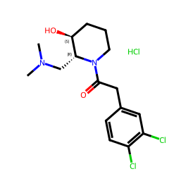 CN(C)C[C@@H]1[C@@H](O)CCCN1C(=O)Cc1ccc(Cl)c(Cl)c1.Cl